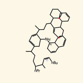 CCCC/C=C\C(C)C(CCC)CCC(C)C1=CC=C(C(C)CCC(C2=CC=CCC2C2CC=CCC2)C2CCCCC2)C(N[C@@H]2CC=CC3C=CCCC32)C1